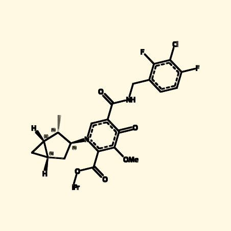 COc1c(C(=O)OC(C)C)n([C@H]2C[C@@H]3C[C@@H]3[C@@H]2C)cc(C(=O)NCc2ccc(F)c(Cl)c2F)c1=O